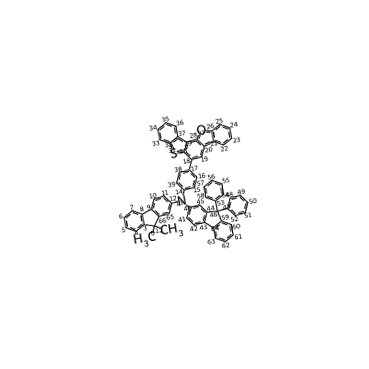 CC1(C)c2ccccc2-c2ccc(N(c3ccc(-c4cc5c6ccccc6oc5c5c4sc4ccccc45)cc3)c3ccc4c(c3)C(c3ccccc3)(c3ccccc3)c3ccccc3-4)cc21